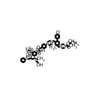 CN(CCO)CCC(CSc1ccccc1)Nc1ccc(S(=O)(=O)NC(=O)c2ccc(N3CCN(CC4=C(c5ccc(Cl)cc5)CC[C@@](C)(CN5CCN(C(=O)OC(C)(C)C)CC5)C4)CC3)cc2)cc1S(=O)(=O)C(F)(F)F